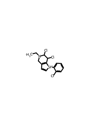 [CH2]CN1CC2=C(C(Cl)C1Cl)[SH](c1ccccc1Cl)C=C2